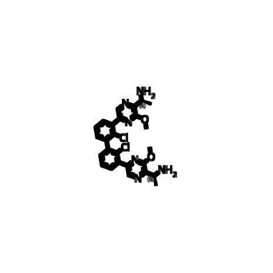 COc1nc(-c2cccc(-c3cccc(-c4cnc([C@H](C)N)c(OC)n4)c3Cl)c2Cl)cnc1[C@H](C)N